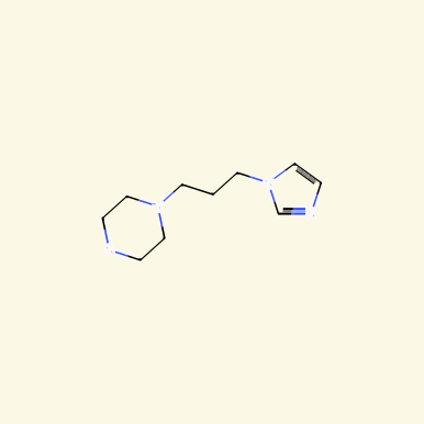 c1cn(CCCN2CC[N]CC2)cn1